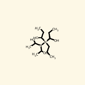 CCC[N+](C(O)CC)(C(O)CC)N(C(C)O)C(C)O